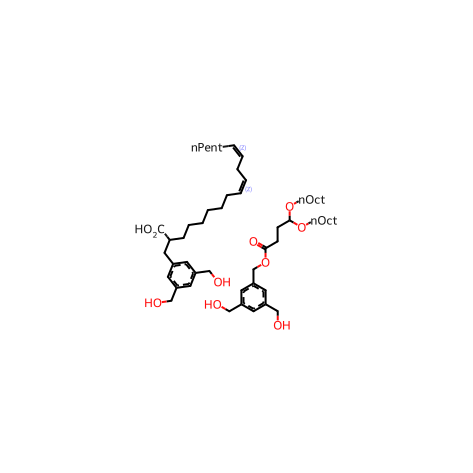 CCCCC/C=C\C/C=C\CCCCCCC(Cc1cc(CO)cc(CO)c1)C(=O)O.CCCCCCCCOC(CCC(=O)OCc1cc(CO)cc(CO)c1)OCCCCCCCC